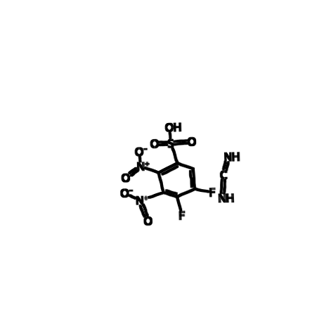 N=C=N.O=[N+]([O-])c1c(S(=O)(=O)O)cc(F)c(F)c1[N+](=O)[O-]